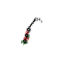 CCCCCCCCCC[C@H]1CC[C@H](COc2ccc(C(=O)Oc3cc(F)c(F)c(F)c3)c(F)c2)CC1